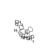 COc1ccc(-c2c3c(c(C(=O)O)n2-c2c(C)noc2C)CCCC3)cc1